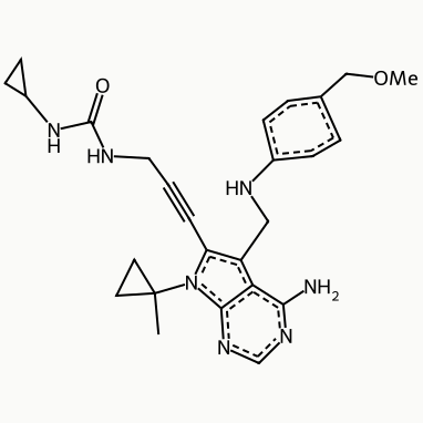 COCc1ccc(NCc2c(C#CCNC(=O)NC3CC3)n(C3(C)CC3)c3ncnc(N)c23)cc1